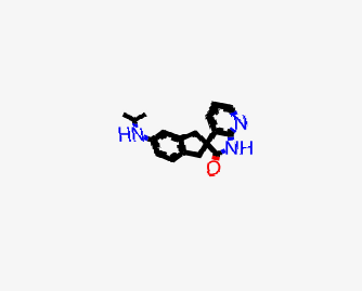 CC(C)Nc1ccc2c(c1)CC1(C2)C(=O)Nc2ncccc21